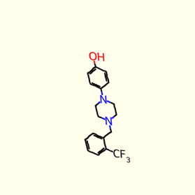 Oc1ccc(N2CCN(Cc3ccccc3C(F)(F)F)CC2)cc1